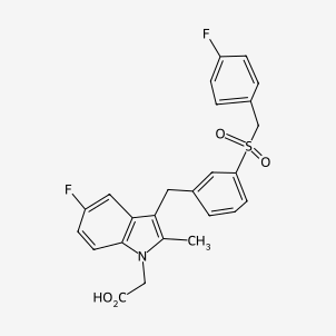 Cc1c(Cc2cccc(S(=O)(=O)Cc3ccc(F)cc3)c2)c2cc(F)ccc2n1CC(=O)O